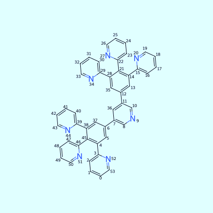 c1ccc(-c2cc(-c3cncc(-c4cc(-c5ccccn5)c(-c5ccccn5)c(-c5ccccn5)c4)c3)cc(-c3ccccn3)c2-c2ccccn2)nc1